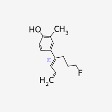 C=C/C=C(\CCCF)c1ccc(O)c(C)c1